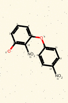 [O]c1cccc(Oc2ccc([N+](=O)[O-])cc2)c1[N+](=O)[O-]